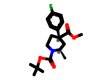 COC(=O)[C@@]1(c2ccc(F)cc2)CCN(C(=O)OC(C)(C)C)[C@@H](C)C1